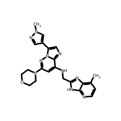 Cc1ccnc2[nH]c(CNc3cc(N4CCOCC4)nn4c(-c5cnn(C)c5)cnc34)nc12